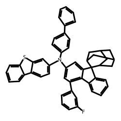 Fc1cccc(-c2cc(N(c3ccc(-c4ccccc4)cc3)c3ccc4c(c3)sc3ccccc34)cc3c2-c2ccccc2C32C3CC4CC(C3)CC2C4)c1